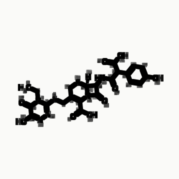 CCn1c(SCC2=C(C(=O)O)N3C(=O)C(NC(=O)C(C(=O)O)c4ccc(O)cc4)[C@@H]3SC2)nnc(O)c1=O